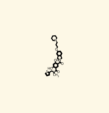 CN(Cc1cccs1)C(=O)c1cc(C(=O)N2Cc3ccc(OCCCN4CCCCC4)cc3C2)c(O)cc1O